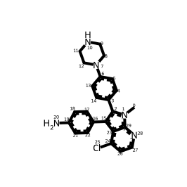 Cn1c(-c2ccc(N3CCNCC3)cc2)c(-c2ccc(N)cc2)c2c(Cl)ccnc21